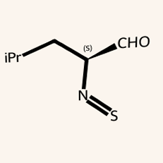 CC(C)C[C@@H](C=O)N=S